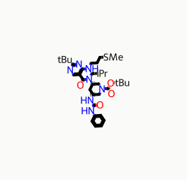 CSCCCNc1nc(C(C)(C)C)ncc1C(=O)N(CC(C)C)[C@H]1C[C@@H](NC(=O)Nc2ccccc2)CN(C(=O)OC(C)(C)C)C1